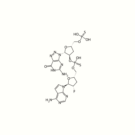 Nc1nc2c(nnn2[C@@H]2O[C@H](COP(O)(O)=S)C[C@H]2OP(O)(=S)OC[C@@H]2C[C@H](F)[C@@H](n3ccc4c(N)ncnc43)O2)c(=O)[nH]1